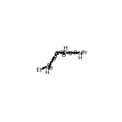 CCC#CCNC(=O)OCCCCOCSSC(C)(C)CCOC(=O)NCCOCCOCCNC(C)C